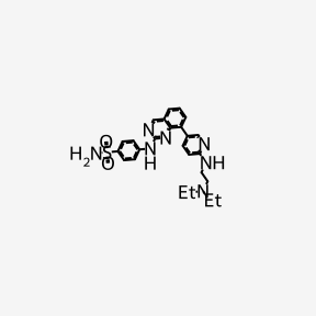 CCN(CC)CCNc1ccc(-c2cccc3cnc(Nc4ccc(S(N)(=O)=O)cc4)nc23)cn1